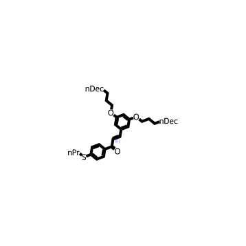 CCCCCCCCCCCCCOc1cc(/C=C/C(=O)c2ccc(SCCC)cc2)cc(OCCCCCCCCCCCCC)c1